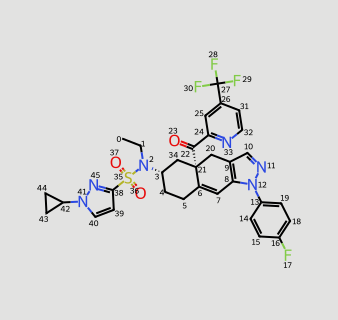 CCN([C@H]1CCC2=Cc3c(cnn3-c3ccc(F)cc3)C[C@]2(C(=O)c2cc(C(F)(F)F)ccn2)C1)S(=O)(=O)c1ccn(C2CC2)n1